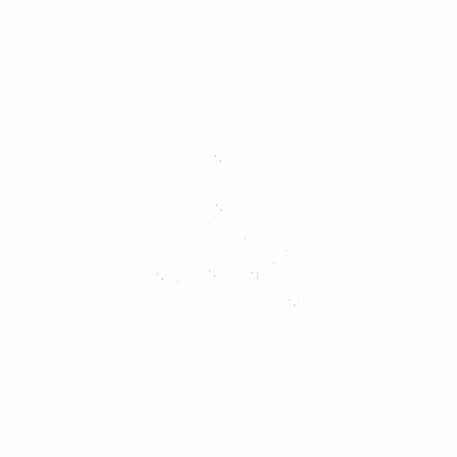 CN1CCN(c2cc(C#N)nc(N3CCNCC34CC4)c2)CC1